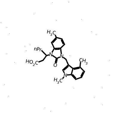 CCCC(CC(=O)O)n1c(=O)n(Cc2cn(C)c3cccc(C)c23)c2ccc(C)cc21